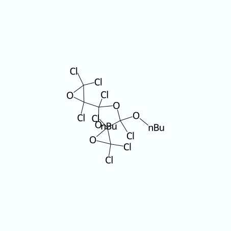 CCCCOC(Cl)(OC(Cl)(OCCCC)C1(Cl)OC1(Cl)Cl)C1(Cl)OC1(Cl)Cl